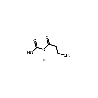 CCCC(=O)OC(=O)O.[P]